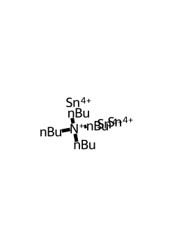 CCCC[N+](CCCC)(CCCC)CCCC.[Sn+4].[Sn+4].[Sn+4]